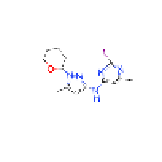 Cc1cc(Nc2cc(C)n(C3CCCCO3)n2)nc(I)n1